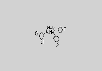 CSc1ccc(-c2c(-c3ccc(F)cc3)nc3ncc(-c4cc(Cl)cc(Cl)c4)cn23)cc1